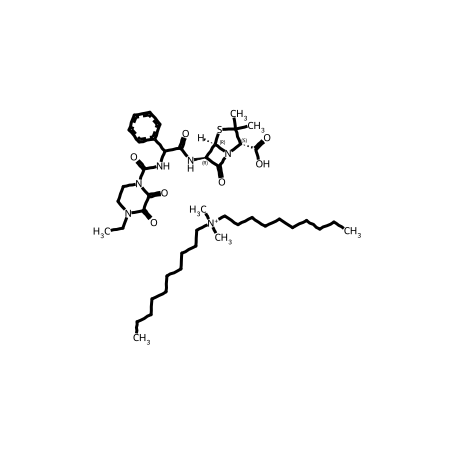 CCCCCCCCCC[N+](C)(C)CCCCCCCCCC.CCN1CCN(C(=O)NC(C(=O)N[C@@H]2C(=O)N3[C@@H]2SC(C)(C)[C@@H]3C(=O)O)c2ccccc2)C(=O)C1=O